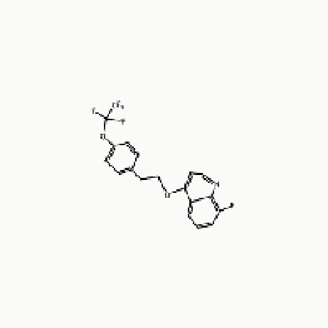 Fc1cccc2c(OCCc3ccc(OC(F)(F)C(F)(F)F)cc3)ccnc12